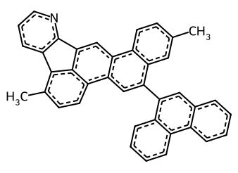 Cc1ccc2c(c1)c(-c1cc3ccccc3c3ccccc13)cc1c3ccc(C)c4c3c(cc21)-c1ncccc1-4